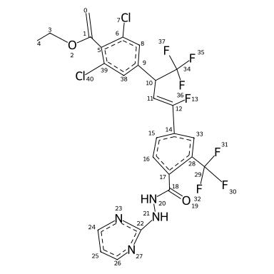 C=C(OCC)c1c(Cl)cc(C(C=C(F)c2ccc(C(=O)NNc3ncccn3)c(C(F)(F)F)c2)C(F)(F)F)cc1Cl